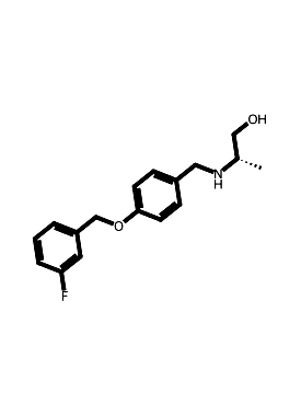 C[C@@H](CO)NCc1ccc(OCc2cccc(F)c2)cc1